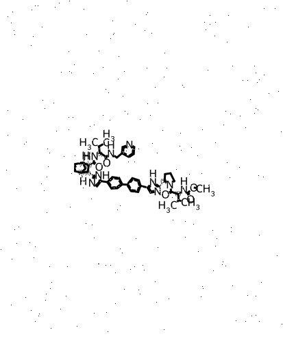 COC(=O)N[C@H](C(=O)N1CCC[C@H]1c1ncc(-c2ccc(-c3ccc(-c4cnc([C@@H]5[C@H]6CC[C@H](C6)[C@H]5C(=O)N[C@H](C(=O)NCc5cccnc5)C(C)C)[nH]4)cc3)cc2)[nH]1)C(C)C